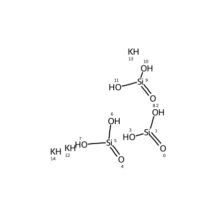 O=[Si](O)O.O=[Si](O)O.O=[Si](O)O.[KH].[KH].[KH]